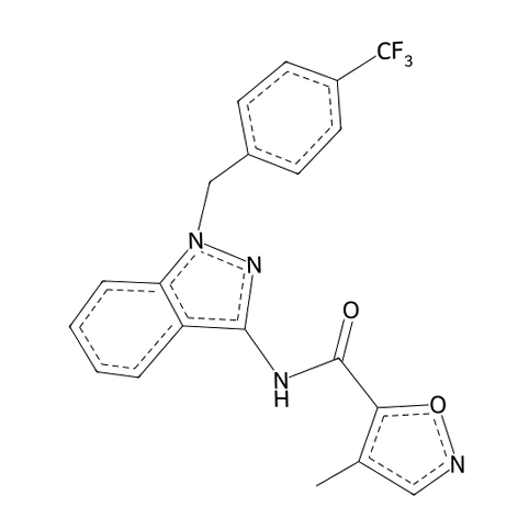 Cc1cnoc1C(=O)Nc1nn(Cc2ccc(C(F)(F)F)cc2)c2ccccc12